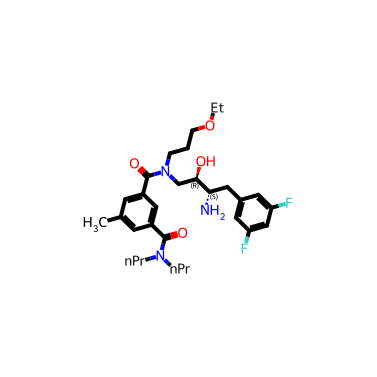 CCCN(CCC)C(=O)c1cc(C)cc(C(=O)N(CCCOCC)C[C@@H](O)[C@@H](N)Cc2cc(F)cc(F)c2)c1